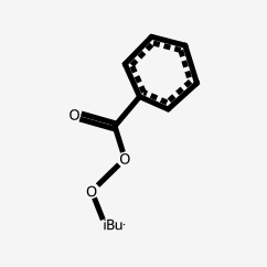 CC[C](C)OOC(=O)c1ccccc1